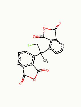 O=C1OC(=O)c2c1cccc2C(CF)(c1cccc2c1C(=O)OC2=O)C(F)(F)F